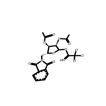 CC(=O)O[C@@H]1[C@@H](CN2C(=O)c3ccccc3C2=O)OC(OC(=N)C(Cl)(Cl)Cl)[C@@H]1OC(C)=O